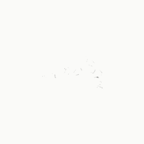 COC(=O)CCc1cc(-c2ccc(OCc3cc(OC)ccc3-c3ccc(Cl)cc3)cc2)n(C2CCCCC2)n1